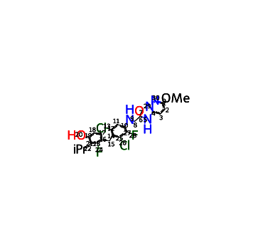 COc1ccc(NC(=O)CNc2cc(Cl)c(Cc3ccc(O)c(C(C)C)c3F)c(Cl)c2F)nn1